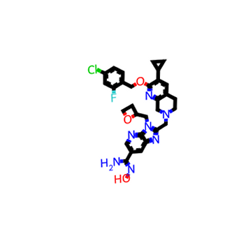 NC(=NO)c1cnc2c(c1)nc(CN1CCc3cc(C4CC4)c(OCc4ccc(Cl)cc4F)nc3C1)n2CC1CCO1